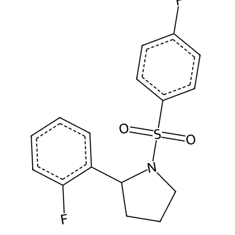 O=S(=O)(c1ccc(F)cc1)N1CCCC1c1ccccc1F